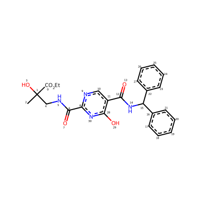 CCOC(=O)C(C)(O)CNC(=O)c1ncc(C(=O)NC(c2ccccc2)c2ccccc2)c(O)n1